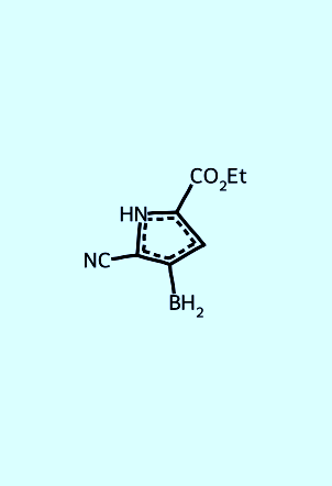 Bc1cc(C(=O)OCC)[nH]c1C#N